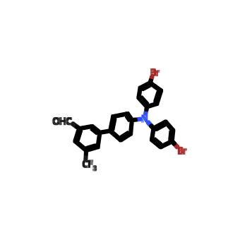 O=Cc1cc(-c2ccc(N(c3ccc(Br)cc3)c3ccc(Br)cc3)cc2)cc(C(F)(F)F)c1